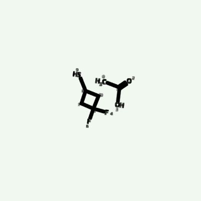 CC(=O)O.FC1(F)CC(S)C1